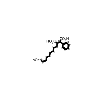 CCCCCCCC/C=C\CCCCCCC(C(=O)O)C(C(=O)O)c1ccccc1